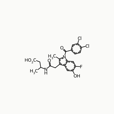 Cc1c(CC(=O)NC(C)CC(=O)O)c2cc(O)c(F)cc2n1C(=O)c1ccc(Cl)c(Cl)c1